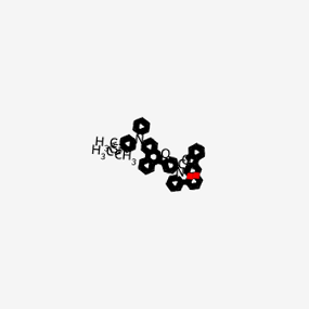 CC1(N(c2ccccc2-c2ccccc2)c2cccc3c2oc2ccccc23)C=c2oc3c4ccc(N(c5ccccc5)c5ccc([Si](C)(C)C)cc5)cc4c4ccccc4c3c2=CC1